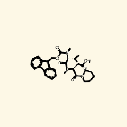 CC(C)[C@H](C(=O)N(C)[C@@H](CC(=O)O)C(=O)N1CCCCC1)N(C)C(=O)OCC1c2ccccc2-c2ccccc21